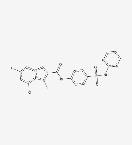 Cn1c(C(=O)Nc2ccc(S(=O)(=O)Nc3ncccn3)cc2)cc2cc(F)cc(Cl)c21